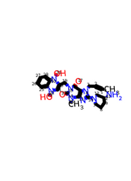 CC#CCn1c(N2CCC[C@@H](N)C2)nc2c1c(=O)n(CC1=CN(O)c3ccccc3N1O)c(=O)n2C